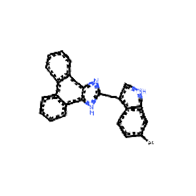 CC(=O)c1ccc2c(-c3nc4c5ccccc5c5ccccc5c4[nH]3)c[nH]c2c1